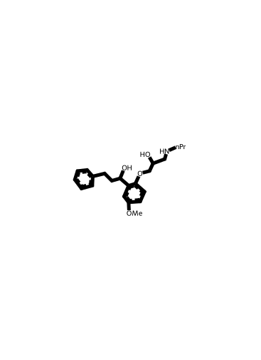 CCCNCC(O)COc1ccc(OC)cc1C(O)CCc1ccccc1